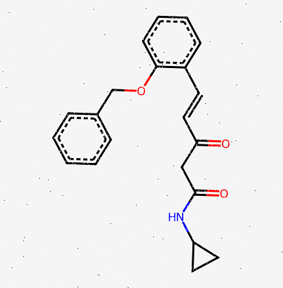 O=C(C=Cc1ccccc1OCc1ccccc1)CC(=O)NC1CC1